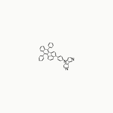 c1ccc(-c2c3c(c(-c4ccccc4)c4ccccc24)-c2ccc(-c4ccc(-n5c6ccncc6c6cnccc65)cc4)c4cccc-3c24)cc1